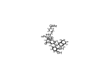 CCCN(C(=O)NCC1=CCC(OC)C=C1)N1CC(=O)N2[C@@H](Cc3ccc(O)c(O)c3)C(=O)N(Cc3cccc4ccccc34)C[C@@H]21